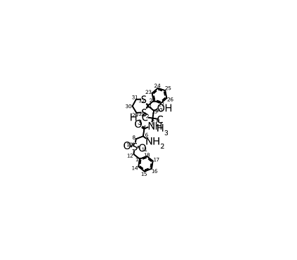 CC(C)(NC(=O)C(N)CS(=O)(=O)Cc1ccccc1)C(O)C1(c2ccccc2)SCCCS1